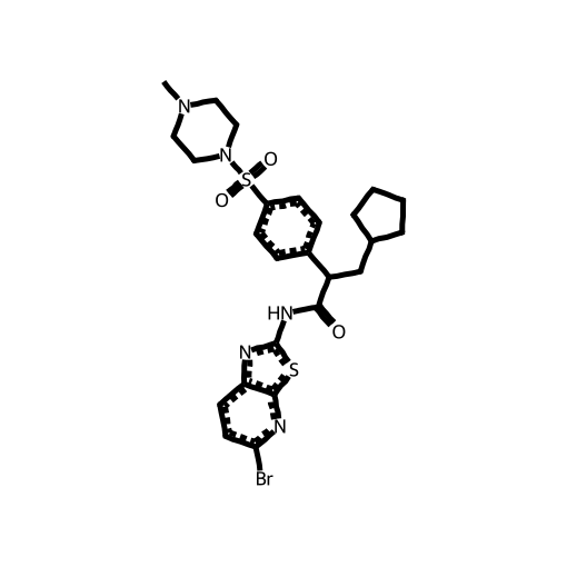 CN1CCN(S(=O)(=O)c2ccc(C(CC3CCCC3)C(=O)Nc3nc4ccc(Br)nc4s3)cc2)CC1